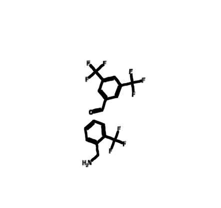 NCc1ccccc1C(F)(F)F.O=Cc1cc(C(F)(F)F)cc(C(F)(F)F)c1